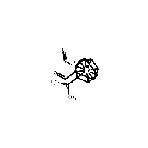 CN(C)[C]12[CH]3[CH]4[CH]5[C@@]1(C=O)[Fe]43521678[CH]2[CH]1[CH]6[C]7(C=O)[CH]28